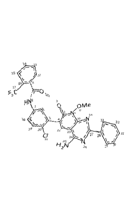 COn1c(=O)c(-c2cc(NC(=O)c3ccccc3C(F)(F)F)ccc2Cl)cc2c(N)nc(-c3ccccc3)nc21